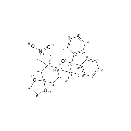 CC(C)(C)[Si](O[C@@H]1CCC2(C[C@@]1(C)C[N+](=O)[O-])OCCO2)(c1ccccc1)c1ccccc1